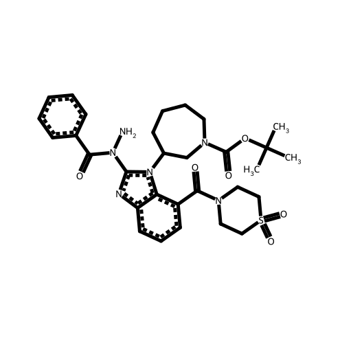 CC(C)(C)OC(=O)N1CCCCC(n2c(N(N)C(=O)c3ccccc3)nc3cccc(C(=O)N4CCS(=O)(=O)CC4)c32)C1